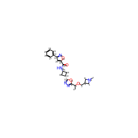 CC(OCC1CN(C)C1)c1nnc([C@H]2C[C@H](NC(=O)c3cc(-c4ccccc4)no3)C2)o1